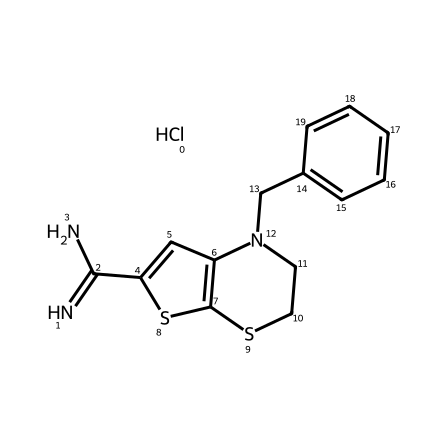 Cl.N=C(N)c1cc2c(s1)SCCN2Cc1ccccc1